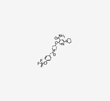 NC(=O)c1cc(N2CCCC2)ncc1OC1CCN(C(=O)Cc2ccc(OC(F)(F)F)cc2)CC1